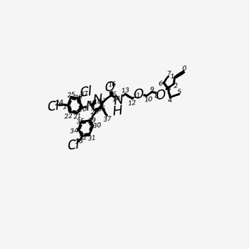 C=CCC(CC)(CC)OCCOCCNC(=O)c1nn(-c2ccc(Cl)cc2Cl)c(-c2ccc(Cl)cc2)c1C